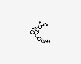 COc1ccc(Cc2cnc(Nc3ccc(C(C)(C)C)c(Br)c3)c3ccccc23)cn1